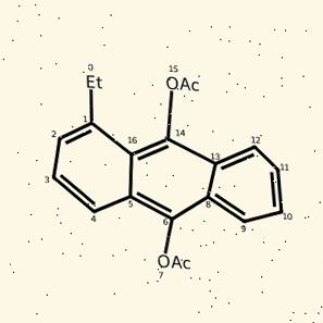 CCc1cccc2c(OC(C)=O)c3ccccc3c(OC(C)=O)c12